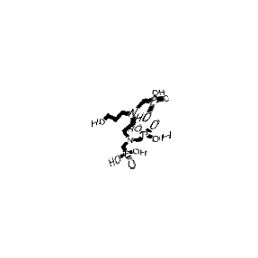 O=P(O)(O)CN(CCCO)CCN(CP(=O)(O)O)CP(=O)(O)O